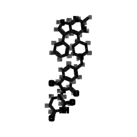 Cc1nc(C2CCN(Cc3ccc4c(c3)C(=O)N(N3CCC(=O)NC3=O)C4=O)CC2)c2c(-c3ccccc3)csc2n1